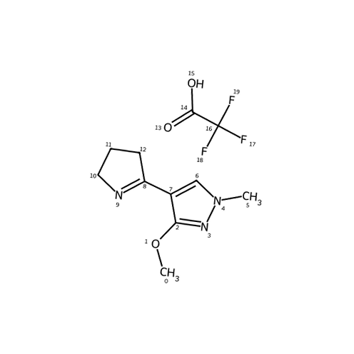 COc1nn(C)cc1C1=NCCC1.O=C(O)C(F)(F)F